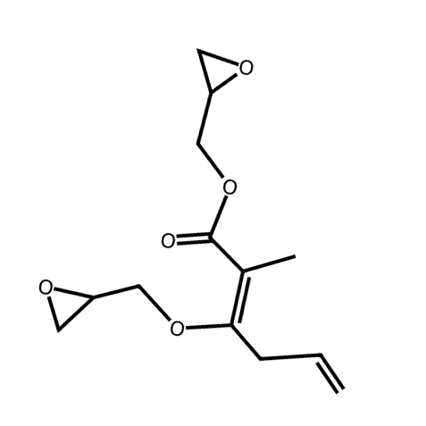 C=CCC(OCC1CO1)=C(C)C(=O)OCC1CO1